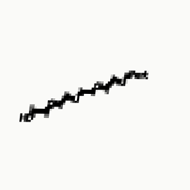 CCCC(C)OCCOCCOCCOCCO